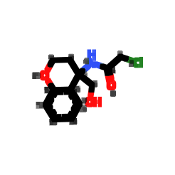 O=C(CCl)NC1(CO)CCOc2ccccc21